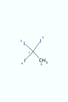 CC(I)(I)I